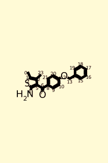 Cc1sc(N)c(C(=O)c2ccc(OCc3ccccc3)cc2)c1C